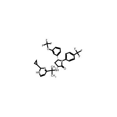 CC(C)(N[C@@H]1C[C@H](c2cccc(OC(F)(F)F)c2)N(c2ccc(C(F)(F)F)cc2)C1=O)C1=NC(C2CC2)NC=C1